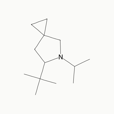 CC(C)N1CC2(CC2)CC1C(C)(C)C